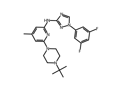 Cc1cc(Nc2ncn(-c3cc(F)cc(F)c3)n2)nc(N2CCN(C(C)(C)C)CC2)c1